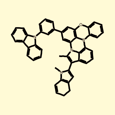 Cc1c(-c2cc3c(n2C)C=CCC3)c2cccc3c2n1-c1cc(-c2cccc(-n4c5ccccc5c5ccccc54)c2)cc2c1B3c1ccccc1O2